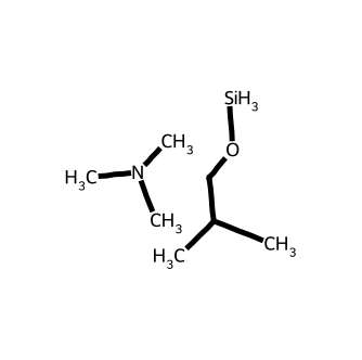 CC(C)CO[SiH3].CN(C)C